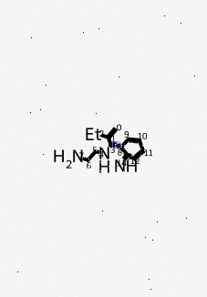 C=C(CC)/C(NCCN)=C1\C=CC=CC1=N